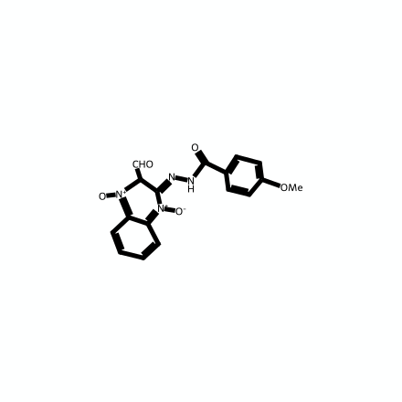 COc1ccc(C(=O)NN=C2C(C=O)[N+]([O-])=c3ccccc3=[N+]2[O-])cc1